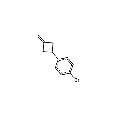 C=C1CC(c2ccc(Br)cc2)C1